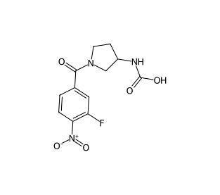 O=C(O)NC1CCN(C(=O)c2ccc([N+](=O)[O-])c(F)c2)C1